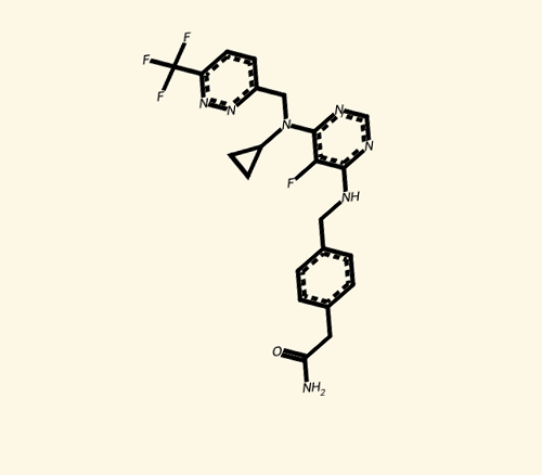 NC(=O)Cc1ccc(CNc2ncnc(N(Cc3ccc(C(F)(F)F)nn3)C3CC3)c2F)cc1